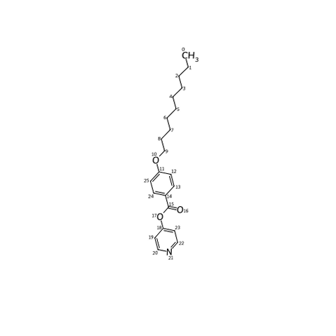 CCCCCCCCCCOc1ccc(C(=O)Oc2ccncc2)cc1